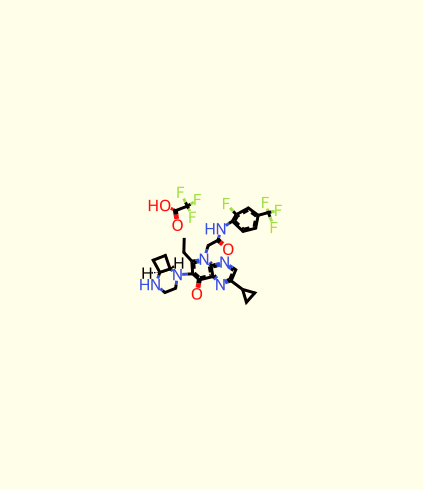 CCc1c(N2CCN[C@H]3CC[C@@H]32)c(=O)c2nc(C3CC3)cnc2n1CC(=O)Nc1ccc(C(F)(F)F)cc1F.O=C(O)C(F)(F)F